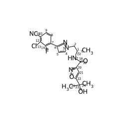 C[C@@H](Cn1ccc(-c2ccc(C#N)c(Cl)c2F)n1)NC(=O)c1cc(C(C)(C)O)on1